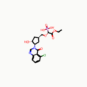 CCOC(=O)[C@@H](OC[C@@H]1C[C@@H](O)[C@H](n2cnc3cccc(Cl)c3c2=O)C1)P(=O)(O)O